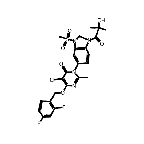 Cc1nc(OCc2ccc(F)cc2F)c(Cl)c(=O)n1-c1ccc2c(c1)N(S(C)(=O)=O)CN2C(=O)C(C)(C)O